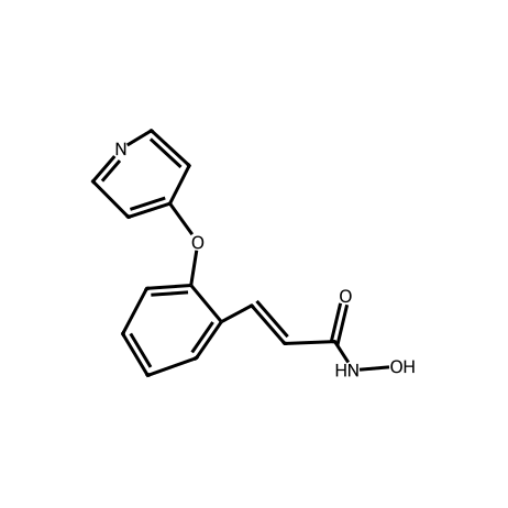 O=C(/C=C/c1ccccc1Oc1ccncc1)NO